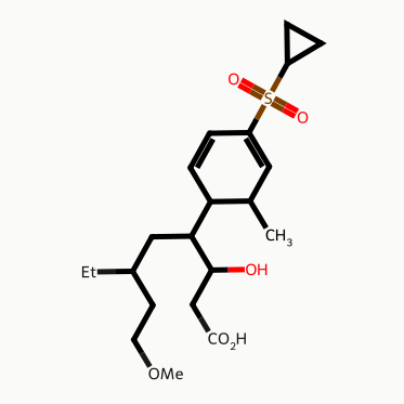 CCC(CCOC)CC(C(O)CC(=O)O)C1C=CC(S(=O)(=O)C2CC2)=CC1C